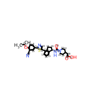 CC(C)Oc1ccc(-c2ncc(-c3cccc4c3CC[C@@H]4NC(=O)N3CCC(CC(=O)O)CC3)s2)cc1C#N